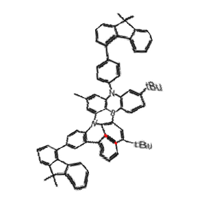 Cc1cc2c3c(c1)N(c1ccc(-c4cccc5c4-c4ccccc4C5(C)C)cc1-c1ccccc1)c1ccc(C(C)(C)C)cc1B3c1ccc(C(C)(C)C)cc1N2c1ccc(-c2cccc3c2-c2ccccc2C3(C)C)cc1